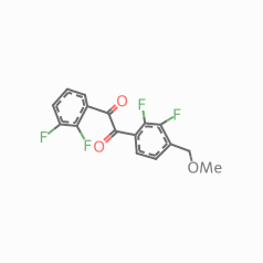 COCc1ccc(C(=O)C(=O)c2cccc(F)c2F)c(F)c1F